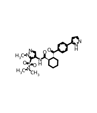 CN(C)S(=O)(=O)c1c(NC(=O)[C@@H]2CCCC[C@H]2C(=O)c2ccc(-c3ccn[nH]3)cc2)cnn1C